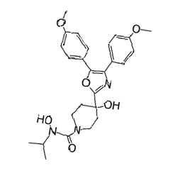 COc1ccc(-c2nc(C3(O)CCN(C(=O)N(O)C(C)C)CC3)oc2-c2ccc(OC)cc2)cc1